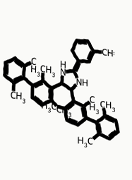 [CH]C1=CC(=C2NC(c3c(C)ccc(-c4c(C)cccc4C)c3C)C(c3c(C)ccc(-c4c(C)cccc4C)c3C)N2)CC=C1